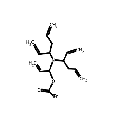 C=CCC(C=C)N(C(C=C)CC=C)C(C=C)OC(=O)C(C)C